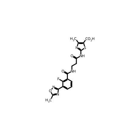 Cc1nc(-c2cccc(C(=O)NCCC(=O)Nc3nc(C)c(C(=O)O)s3)c2F)no1